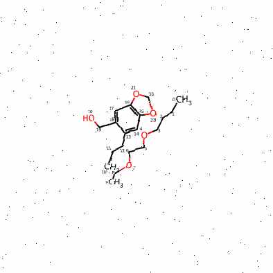 CCCCOCCOCC.CCCc1cc2c(cc1CO)OCO2